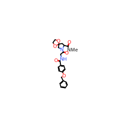 CNC(=O)C1CC2(CN1C(=O)CNC(=O)c1ccc(OCc3ccccc3)cc1)OCCO2